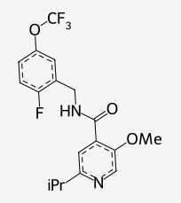 COc1cnc(C(C)C)cc1C(=O)NCc1cc(OC(F)(F)F)ccc1F